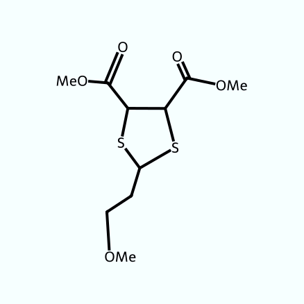 COCCC1SC(C(=O)OC)C(C(=O)OC)S1